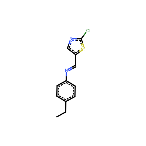 CCc1ccc(/N=C/c2cnc(Cl)s2)cc1